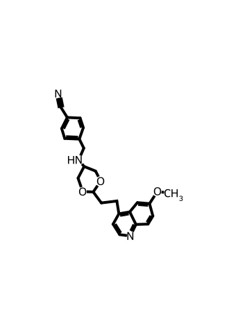 COc1ccc2nccc(CCC3OCC(NCc4ccc(C#N)cc4)CO3)c2c1